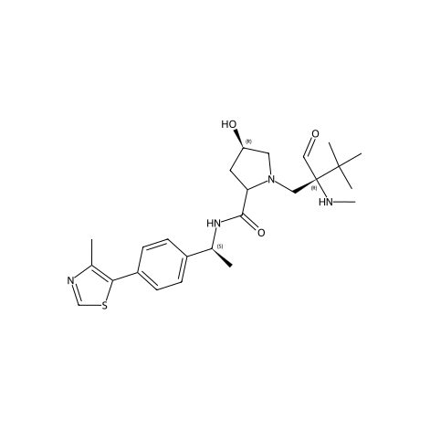 CN[C@@](C=O)(CN1C[C@H](O)CC1C(=O)N[C@@H](C)c1ccc(-c2scnc2C)cc1)C(C)(C)C